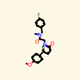 COc1ccc(-c2ccc(=O)n(CC(=O)N(C)Cc3ccc(F)cc3)c2)cc1